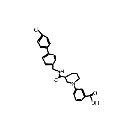 O=C(O)c1cccc(N2CCCC(C(=O)NCc3ccc(-c4ccc(Cl)cc4)cc3)C2)c1